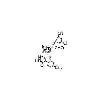 Cc1ccc(-c2cc(CN(C)/C=N\C(=C(/C=O)Oc3cc(Cl)cc(C#N)c3)C(F)(F)F)n[nH]c2=O)c(F)c1